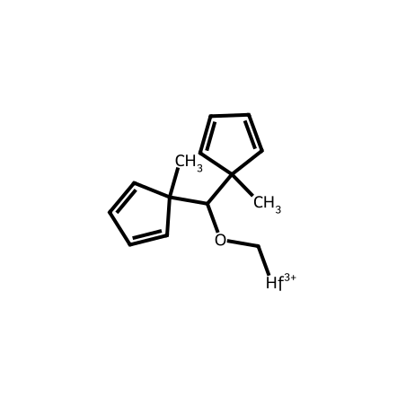 CC1(C(O[CH2][Hf+3])C2(C)C=CC=C2)C=CC=C1